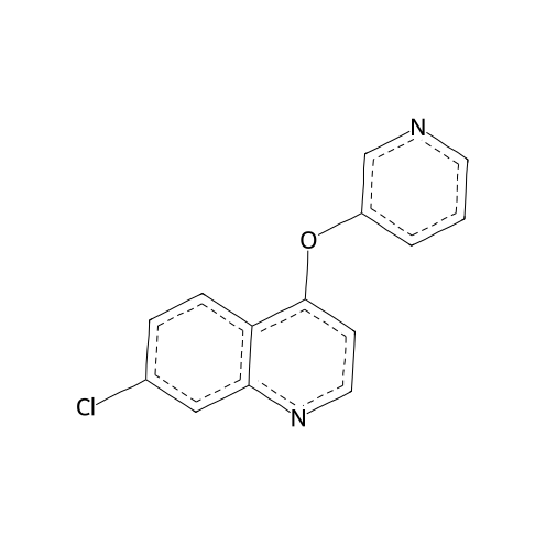 Clc1ccc2c(Oc3cccnc3)ccnc2c1